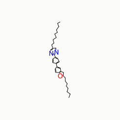 CCCCCCCCCCc1cnc(-c2ccc(-c3ccc4c(c3)CC(CCCCCCCC)O4)cc2)nc1